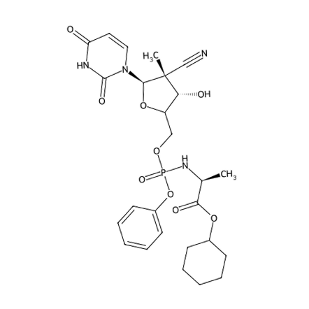 C[C@H](NP(=O)(OCC1O[C@@H](n2ccc(=O)[nH]c2=O)[C@](C)(C#N)[C@@H]1O)Oc1ccccc1)C(=O)OC1CCCCC1